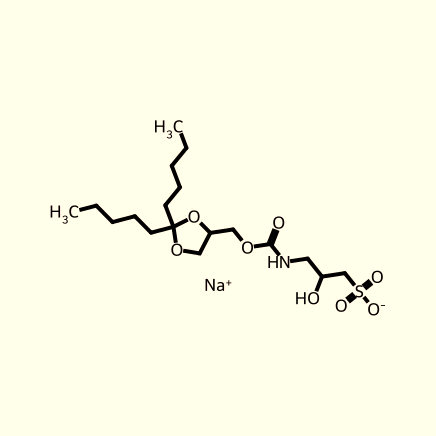 CCCCCC1(CCCCC)OCC(COC(=O)NCC(O)CS(=O)(=O)[O-])O1.[Na+]